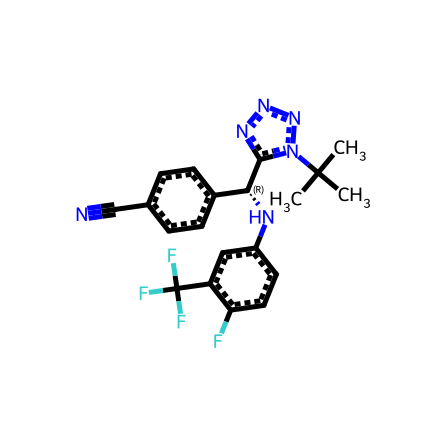 CC(C)(C)n1nnnc1[C@H](Nc1ccc(F)c(C(F)(F)F)c1)c1ccc(C#N)cc1